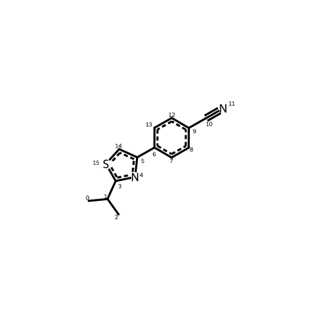 CC(C)c1nc(-c2ccc(C#N)cc2)cs1